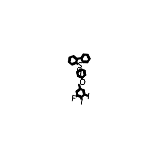 Fc1cc(COc2ccc([SH]3c4ccccc4-c4ccccc43)cc2)cc(I)c1I